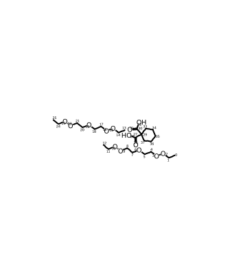 CCOOCCOCCOOCC.CCOOCCOCCOOCC.O=C(O)C1(C(=O)O)CCCCC1